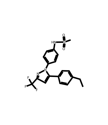 CCc1ccc(-c2cc(C(F)(F)F)nn2-c2ccc(NS(C)(=O)=O)cc2)cc1